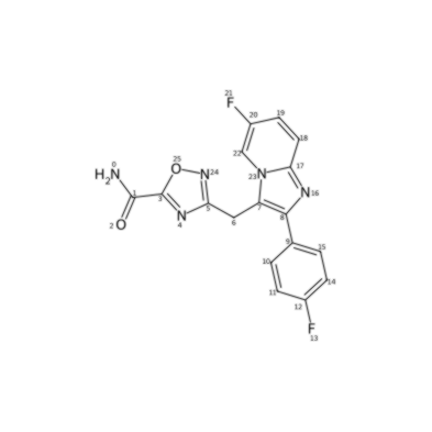 NC(=O)c1nc(Cc2c(-c3ccc(F)cc3)nc3ccc(F)cn23)no1